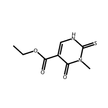 CCOC(=O)c1c[nH]c(=S)n(C)c1=O